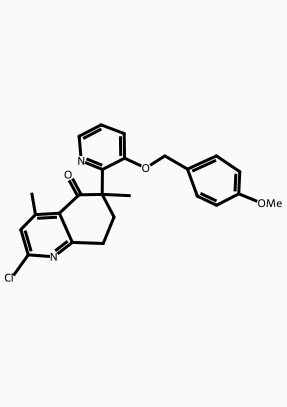 COc1ccc(COc2cccnc2C2(C)CCc3nc(Cl)cc(C)c3C2=O)cc1